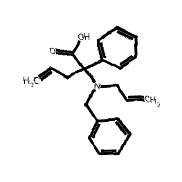 C=CCN(Cc1ccccc1)C(CC=C)(C(=O)O)c1ccccc1